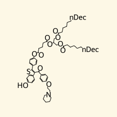 CCCCCCCCCCCCCCCC(=O)OCC(COC(=O)CCCCCCCCCCCCCCC)OC(=O)CCCC(=O)Oc1ccc(-c2sc3cc(O)ccc3c2C(=O)c2ccc(OCCN3CCCCC3)cc2)cc1